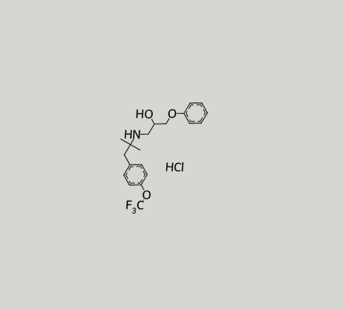 CC(C)(Cc1ccc(OC(F)(F)F)cc1)NCC(O)COc1ccccc1.Cl